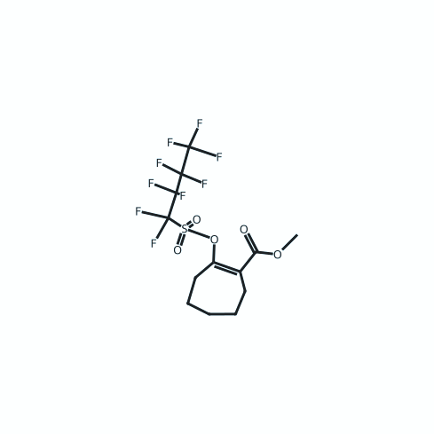 COC(=O)C1=C(OS(=O)(=O)C(F)(F)C(F)(F)C(F)(F)C(F)(F)F)CCCCC1